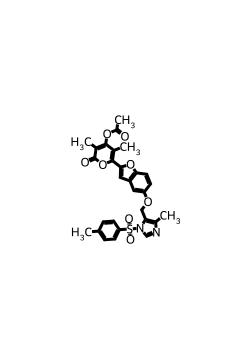 CC(=O)Oc1c(C)c(-c2cc3cc(OCc4c(C)ncn4S(=O)(=O)c4ccc(C)cc4)ccc3o2)oc(=O)c1C